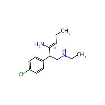 CC/C=C(\N)C(CNCC)c1ccc(Cl)cc1